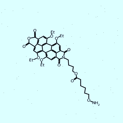 CCOc1cc2c3c(cc(OCC)c4c5c(OCC)cc6c7c(cc(OCC)c(c1c34)c75)C(=O)N(CCCCOC(=O)CCCCCON)C6=O)C(=O)OC2=O